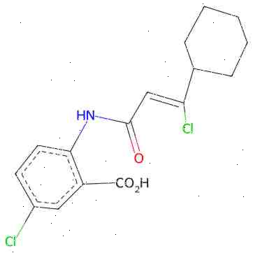 O=C(/C=C(\Cl)C1CCCCC1)Nc1ccc(Cl)cc1C(=O)O